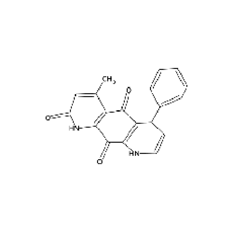 Cc1cc(=O)[nH]c2c1C(=O)C1=C(NC=CC1c1ccccc1)C2=O